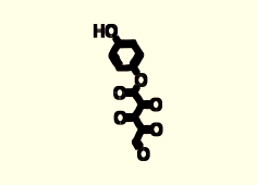 O=CC(=O)C(=O)C(=O)C(=O)Oc1ccc(O)cc1